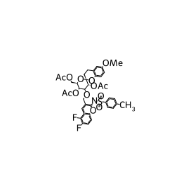 COc1ccc2c(c1)CC[C@]1(O2)O[C@H](COC(C)=O)[C@H](OC(C)=O)[C@H](OCc2cc3c(F)c(F)ccc3oc2=NS(=O)(=O)c2ccc(C)cc2)[C@H]1OC(C)=O